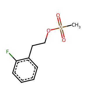 CS(=O)(=O)OCCc1ccccc1F